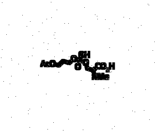 CNC(COP(=O)(O)OCCCOC(C)=O)C(=O)O